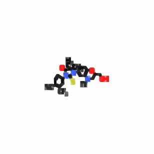 CCN1CC(CO)Oc2ccc(N3C(=S)N(c4ccc(C#N)c(C(F)(F)F)c4)C(=O)C3(C)C)cc21